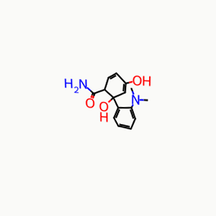 CN(C)c1ccccc1C1(O)C=C(O)C=CC1C(N)=O